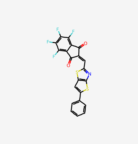 O=C1C(=Cc2nc3sc(-c4ccccc4)cc3s2)C(=O)c2c(F)c(F)c(F)c(F)c21